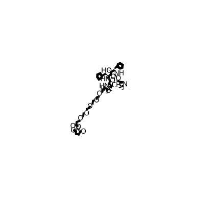 CC(C)[C@H](NC(=O)CCOCCOCCOCCOCCOCCC(=O)ON1C(=O)CCC1=O)C(=O)N[C@@H](Cc1ccccc1)C[C@H](O)[C@H](Cc1ccccc1)NC(=O)OCc1cncs1